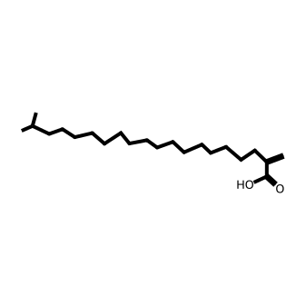 C=C(CCCCCCCCCCCCCCCCC(C)C)C(=O)O